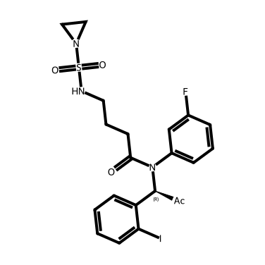 CC(=O)[C@@H](c1ccccc1I)N(C(=O)CCCNS(=O)(=O)N1CC1)c1cccc(F)c1